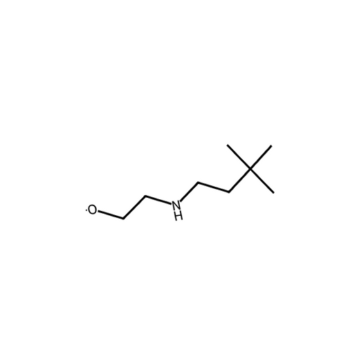 CC(C)(C)CCNCC[O]